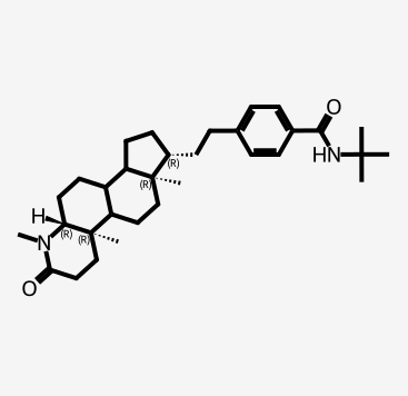 CN1C(=O)CC[C@]2(C)C3CC[C@@]4(C)C(CC[C@@H]4CCc4ccc(C(=O)NC(C)(C)C)cc4)C3CC[C@@H]12